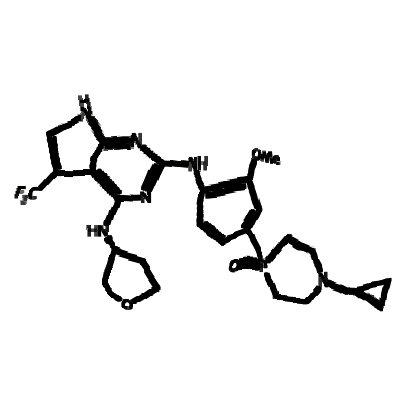 COc1cc(P2(=O)CCN(C3CC3)CC2)ccc1Nc1nc(N[C@H]2CCOC2)c2c(C(F)(F)F)c[nH]c2n1